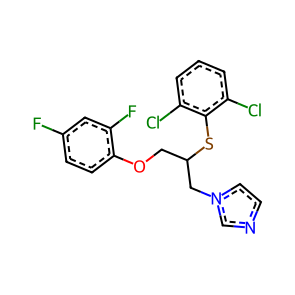 Fc1ccc(OCC(Cn2ccnc2)Sc2c(Cl)cccc2Cl)c(F)c1